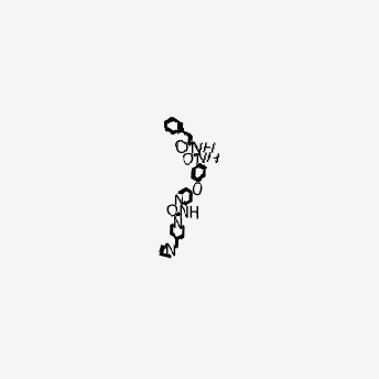 O=C(Cc1ccccc1)NC(=O)Nc1ccc(Oc2ccnc(NC(=O)N3CCC(CN4CCC4)CC3)c2)cc1